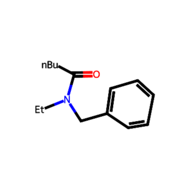 CCCCC(=O)N(CC)Cc1ccccc1